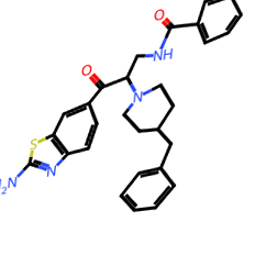 Nc1nc2ccc(C(=O)C(CNC(=O)c3ccccc3)N3CCC(Cc4ccccc4)CC3)cc2s1